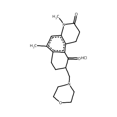 Cc1cc2c(c3c1CCC(CN1CCOCC1)C3=O)CCC(=O)N2C.Cl